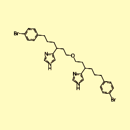 Brc1ccc(CCCC(CCOCCC(CCCc2ccc(Br)cc2)c2c[nH]cn2)c2c[nH]cn2)cc1